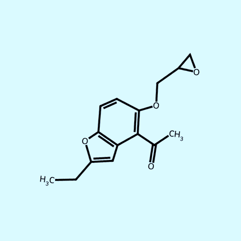 CCc1cc2c(C(C)=O)c(OCC3CO3)ccc2o1